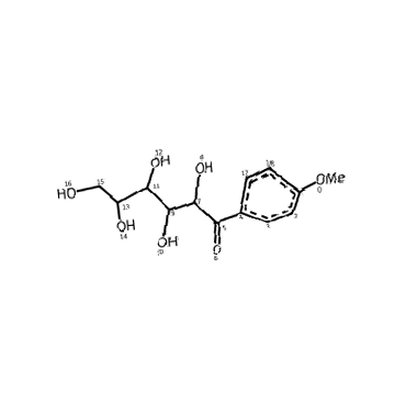 COc1ccc(C(=O)C(O)C(O)C(O)C(O)CO)cc1